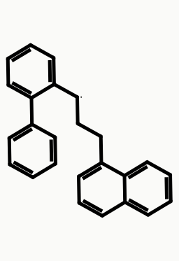 [CH](CCc1cccc2ccccc12)c1ccccc1-c1ccccc1